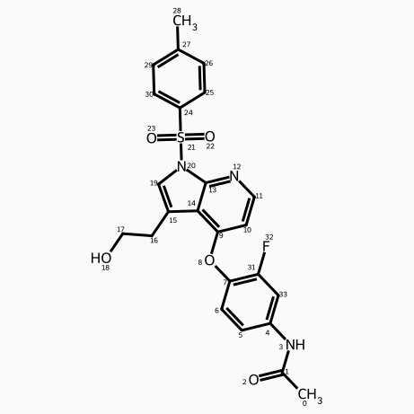 CC(=O)Nc1ccc(Oc2ccnc3c2c(CCO)cn3S(=O)(=O)c2ccc(C)cc2)c(F)c1